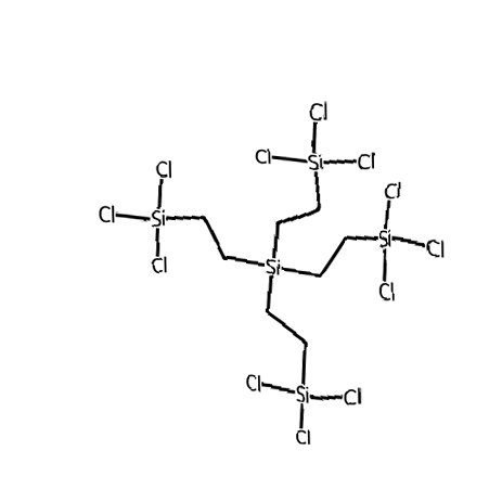 Cl[Si](Cl)(Cl)CC[Si](CC[Si](Cl)(Cl)Cl)(CC[Si](Cl)(Cl)Cl)CC[Si](Cl)(Cl)Cl